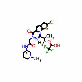 CC(C)c1nn(CC(=O)N[C@@H]2CCCN(C)C2)c(=O)c2cc3cc(Cl)sc3n12.O=C(O)C(F)(F)F